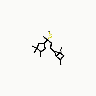 CSC(C)(CCC1C2C(C)C[C@@]12C)C1CC(C)C(C)(C)C1